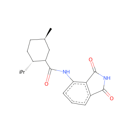 CC(C)[C@@H]1CC[C@@H](C)CC1C(=O)Nc1cccc2c1C(=O)NC2=O